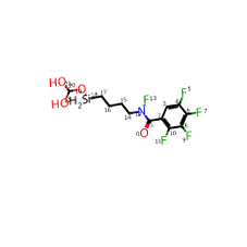 O=C(c1cc(F)c(F)c(F)c1F)N(F)CCCC[SiH2]OC(O)O